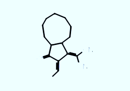 C/C=C1\C(=O)C2CCCCCCCC2C1=C(C#N)C#N